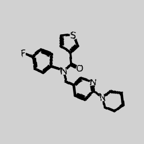 O=C(c1ccsc1)N(Cc1ccc(N2CCCCC2)nc1)c1ccc(F)cc1